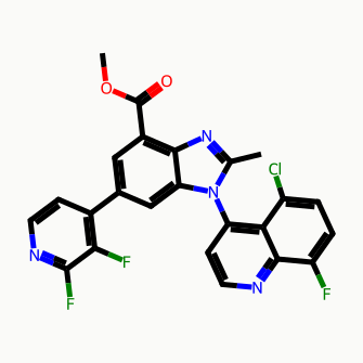 COC(=O)c1cc(-c2ccnc(F)c2F)cc2c1nc(C)n2-c1ccnc2c(F)ccc(Cl)c12